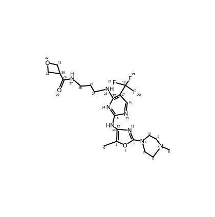 Cc1oc(N2CCN(C)CC2)nc1Nc1ncc(C(F)(F)F)c(NCCCNC(=O)C2COC2)n1